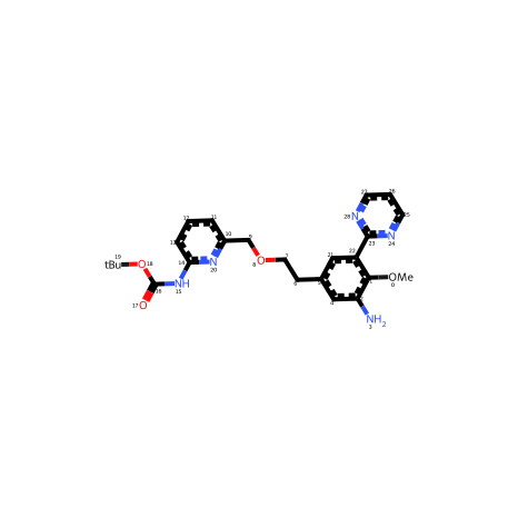 COc1c(N)cc(CCOCc2cccc(NC(=O)OC(C)(C)C)n2)cc1-c1ncccn1